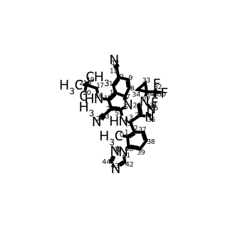 Cc1c([C@H](Nc2nc3ccc(C#N)cc3c(NCC(C)(C)C)c2C#N)c2cn(C3(C(F)(F)F)CC3)nn2)cccc1-n1cncn1